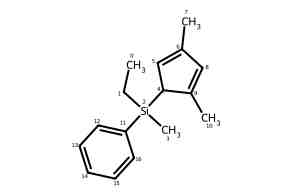 CC[Si](C)([C]1C=C(C)C=C1C)c1ccccc1